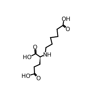 O=C(O)CCCCCN[C@@H](CCC(=O)O)C(=O)O